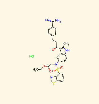 CCOC(=O)CN(c1ccc2[nH]c(C)c(C(=O)CCc3ccc(C(=N)N)cc3)c2c1)S(=O)(=O)c1cccc2scnc12.Cl